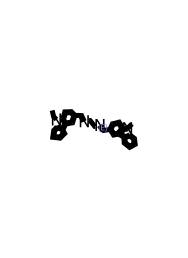 CCn1c2ccccc2c2cc(C=NCC/N=C/c3ccc4c(c3)c3ccccc3n4C)ccc21